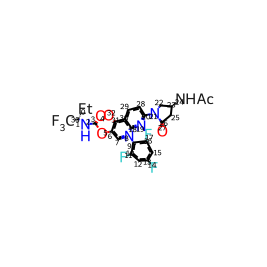 CC[C@H](NC(=O)Oc1cn(-c2c(F)cc(F)cc2F)c2nc(N3C[C@@H](NC(C)=O)CC3=O)ccc2c1=O)C(F)(F)F